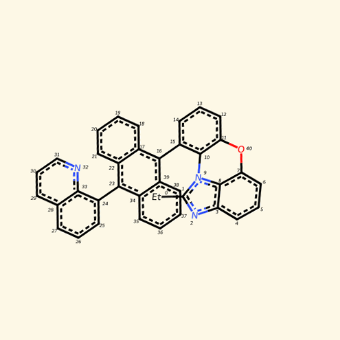 CCc1nc2cccc3c2n1-c1c(cccc1-c1c2ccccc2c(-c2cccc4cccnc24)c2ccccc12)O3